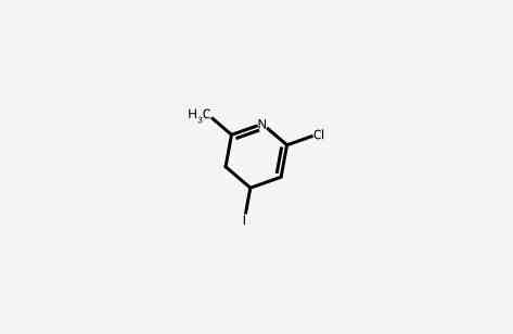 CC1=NC(Cl)=CC(I)C1